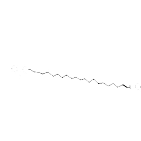 CCCCCCCCC=CCCCCCCCCCCCCCCCCCCCCC(=O)O